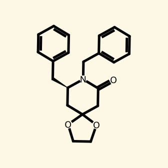 O=C1CC2(C[C@@H](Cc3ccccc3)N1Cc1ccccc1)OCCO2